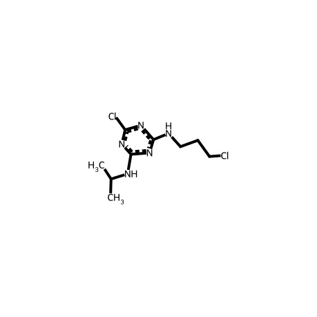 CC(C)Nc1nc(Cl)nc(NCCCCl)n1